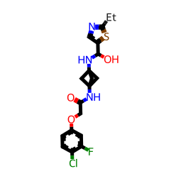 CCc1ncc(C(O)NC23CC(NC(=O)COc4ccc(Cl)c(F)c4)(C2)C3)s1